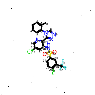 Cc1ccccc1-n1cnnc1-c1ncc(Cl)cc1NS(=O)(=O)c1ccc(Cl)c(C(F)(F)F)c1